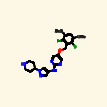 COc1cc(OC)c(F)c(COc2cnc(Nc3cnn(C4CCNCC4)c3)nc2)c1F